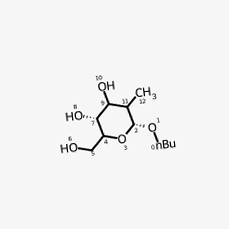 CCCCO[C@@H]1OC(CO)[C@H](O)C(O)C1C